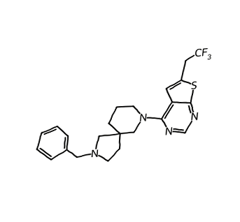 FC(F)(F)Cc1cc2c(N3CCCC4(CCN(Cc5ccccc5)C4)C3)ncnc2s1